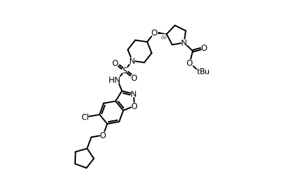 CC(C)(C)OC(=O)N1CC[C@H](OC2CCN(S(=O)(=O)Nc3noc4cc(OCC5CCCC5)c(Cl)cc34)CC2)C1